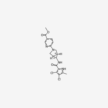 COC(=O)c1ccc(N2C[C@@H]3C(NC(=O)c4[nH]c(C)c(Cl)c4Cl)[C@@H]3C2)nc1